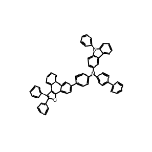 c1ccc(-c2ccc(N(c3ccc(-c4ccc5c(c4)c4ccccc4c4c(-c6ccccc6)c(-c6ccccc6)oc54)cc3)c3ccc4c(c3)c3ccccc3n4-c3ccccc3)cc2)cc1